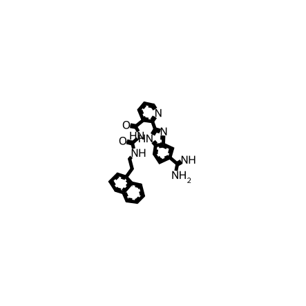 N=C(N)c1ccc2[nH]c(-c3ncccc3C(=O)NC(=O)NCCc3cccc4ccccc34)nc2c1